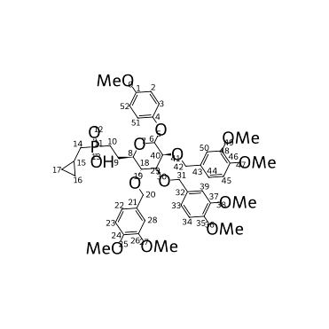 COc1ccc(OC2O[C@H](CCP(=O)(O)CC3CC3)[C@@H](OCc3ccc(OC)c(OC)c3)[C@H](OCc3ccc(OC)c(OC)c3)[C@@H]2OCc2ccc(OC)c(OC)c2)cc1